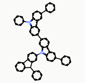 c1ccc(-c2ccc3c(c2)c2cc(-c4ccc5c6cc(-c7ccccc7)ccc6n(-c6ccc7c(c6)C(c6ccccc6)c6ccccc6-7)c5c4)ccc2n3-c2ccccc2)cc1